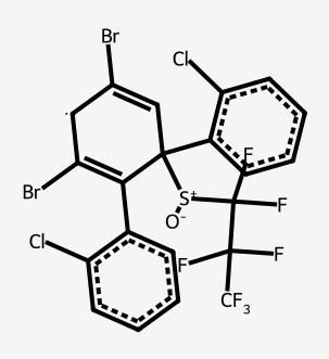 [O-][S+](C1(c2ccccc2Cl)C=C(Br)[CH]C(Br)=C1c1ccccc1Cl)C(F)(F)C(F)(F)C(F)(F)F